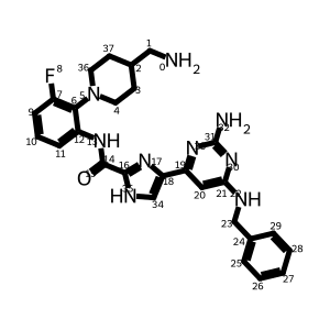 NCC1CCN(c2c(F)cccc2NC(=O)c2nc(-c3cc(NCc4ccccc4)nc(N)n3)c[nH]2)CC1